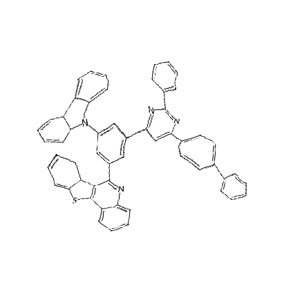 C1=CCC2C(=C1)Sc1c2c(-c2cc(-c3cc(-c4ccc(-c5ccccc5)cc4)nc(-c4ccccc4)n3)cc(N3c4ccccc4C4C=CC=CC43)c2)nc2ccccc12